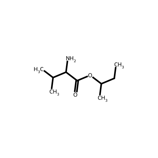 CCC(C)OC(=O)C(N)C(C)C